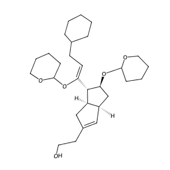 OCCC1=C[C@@H]2C[C@H](OC3CCCCO3)[C@@H](C(=CCC3CCCCC3)OC3CCCCO3)[C@@H]2C1